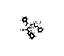 O=C(O)N(CCC1CCCCC1)C(=O)N[C@@H](CCc1ccccc1)C(O)c1nc2ccccc2o1